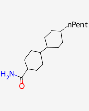 CCCCCC1CCC(C2CCC(C(N)=O)CC2)CC1